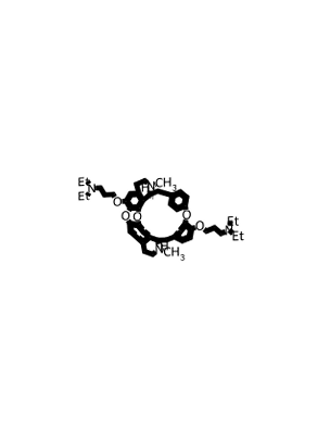 CCN(CC)CCCOc1ccc2cc1Oc1ccc(cc1)C[C@H]1c3c(cc(OCCCN(CC)CC)c4c3Oc3cc5c(cc3O4)CCN(C)[C@H]5C2)CCN1C